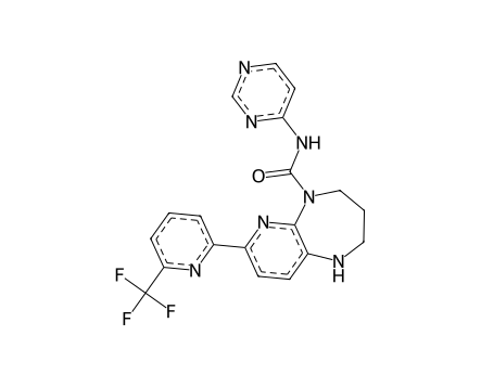 O=C(Nc1ccncn1)N1CCCNc2ccc(-c3cccc(C(F)(F)F)n3)nc21